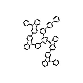 c1ccc(-c2ccc(-c3cccc(-c4cc(-c5cccc(-n6c7ccccc7c7ccc(-c8ccc9c%10ccccc%10n(-c%10ccccc%10)c9c8)cc76)c5)nc(-n5c6ccccc6c6ccc(-c7ccc8c9ccccc9n(-c9ccccc9)c8c7)cc65)n4)c3)cc2)cc1